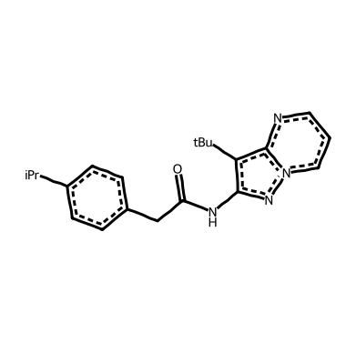 CC(C)c1ccc(CC(=O)Nc2nn3cccnc3c2C(C)(C)C)cc1